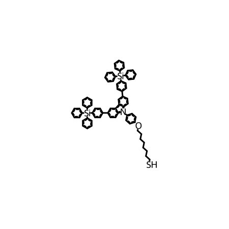 SCCCCCCCCOc1ccc(-n2c3ccc(-c4ccc([Si](c5ccccc5)(c5ccccc5)c5ccccc5)cc4)cc3c3cc(-c4ccc([Si](c5ccccc5)(c5ccccc5)c5ccccc5)cc4)ccc32)cc1